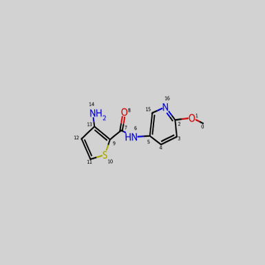 COc1ccc(NC(=O)c2sccc2N)cn1